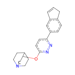 C1=Cc2cc(-c3ccc(OC4CN5CCC4CC5)nn3)ccc2C1